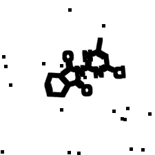 Cc1cc(Cl)nc(N2C(=O)C3CC=CCC3C2=O)n1